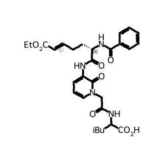 CCOC(=O)/C=C/CC[C@H](NC(=O)c1ccccc1)C(=O)Nc1cccn(CC(=O)NC(C(=O)O)C(C)CC)c1=O